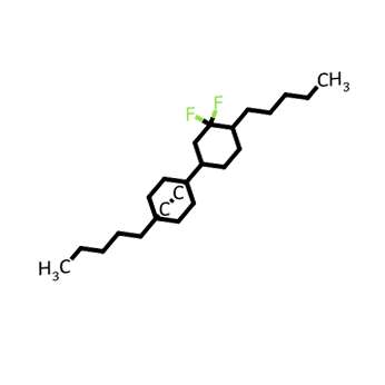 CCCCCC1CCC(C23CCC(CCCCC)(CC2)CC3)CC1(F)F